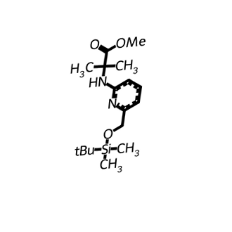 COC(=O)C(C)(C)Nc1cccc(CO[Si](C)(C)C(C)(C)C)n1